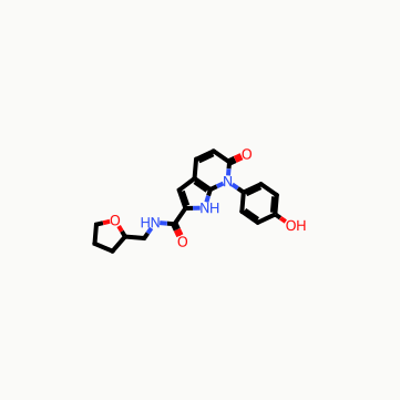 O=C(NCC1CCCO1)c1cc2ccc(=O)n(-c3ccc(O)cc3)c2[nH]1